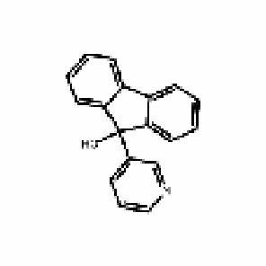 OC1(c2cccnc2)c2ccccc2-c2ccccc21